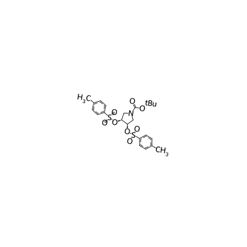 Cc1ccc(S(=O)(=O)O[C@H]2CN(C(=O)OC(C)(C)C)C[C@H]2OS(=O)(=O)c2ccc(C)cc2)cc1